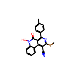 CSc1nc(-c2ccc(C)cc2)c2c(=O)n(O)c3ccccc3c2c1C#N